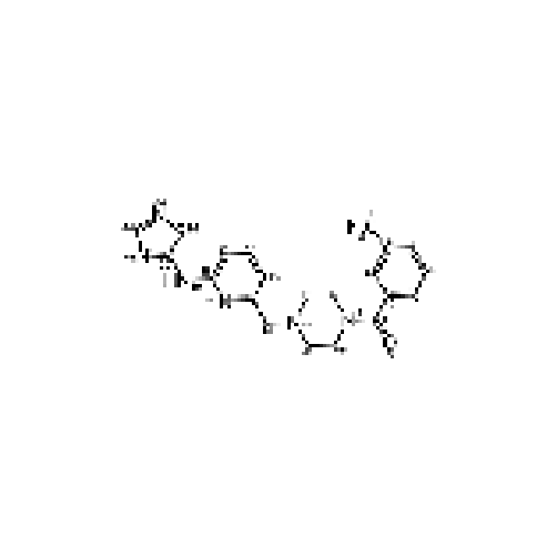 O=C(c1cccc(C(F)(F)F)c1)N1CCN(Cc2cccc(Nc3ncns3)n2)CC1